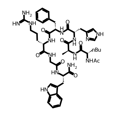 CCCC[C@H](NC(C)=O)C(=O)N[C@@H](C)C(=O)N[C@@H](Cc1c[nH]cn1)C(=O)N[C@@H](Cc1ccccc1)C(=O)N[C@@H](CCCNC(=N)N)C(=O)NCC(=O)N[C@@H](Cc1c[nH]c2ccccc12)C(N)=O